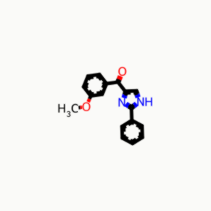 COc1cccc(C(=O)c2c[nH]c(-c3ccccc3)n2)c1